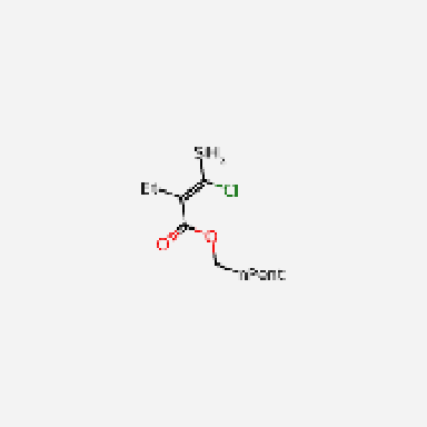 CCCCCCOC(=O)C(CC)=C([SiH3])Cl